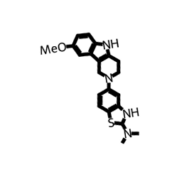 COc1ccc2[nH]c3c(c2c1)CN(c1ccc2c(c1)NC(N(C)C)S2)CC3